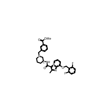 COC(=O)c1cccc(CN2CCC[C@H](NC(=O)c3c(C)nc4c(OCc5c(F)cccc5F)cccn34)C2)c1